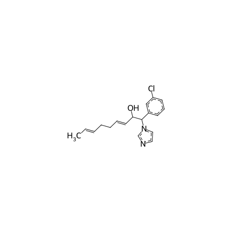 CC=CCCC=CC(O)C(c1cccc(Cl)c1)n1ccnc1